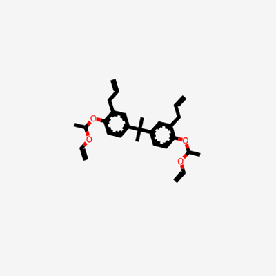 C=CCc1cc(C(C)(C)c2ccc(OC(C)OC=C)c(CC=C)c2)ccc1OC(C)OC=C